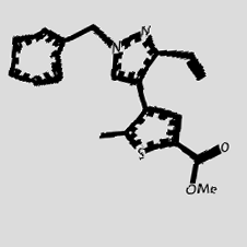 C=Cc1nn(Cc2ccccc2)cc1-c1cc(C(=O)OC)sc1C